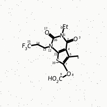 CCn1c(=O)c2c(C)c(OC(=O)O)sc2n(CCC(F)(F)F)c1=O